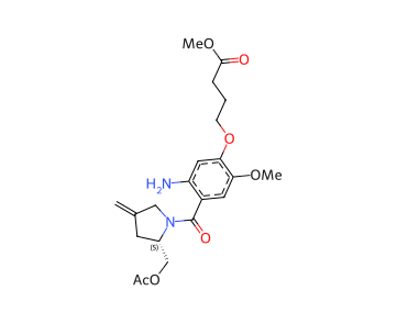 C=C1C[C@@H](COC(C)=O)N(C(=O)c2cc(OC)c(OCCCC(=O)OC)cc2N)C1